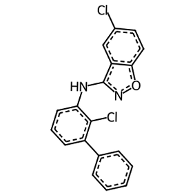 Clc1ccc2onc(Nc3cccc(-c4ccccc4)c3Cl)c2c1